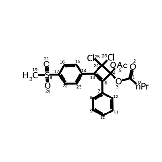 CCCC(=O)OC1(OC(C)=O)C(c2ccccc2)=C(c2ccc(S(C)(=O)=O)cc2)C1(Cl)Cl